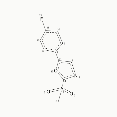 CS(=O)(=O)c1ncc(-c2ccc(F)cc2)o1